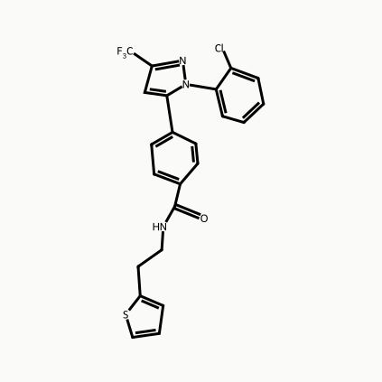 O=C(NCCc1cccs1)c1ccc(-c2cc(C(F)(F)F)nn2-c2ccccc2Cl)cc1